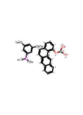 COc1cc(OC)cc(P(C(C)(C)C)C(C)(C)C)c1.OB(O)Oc1cccc2ccc3cc4ccccc4cc3c12